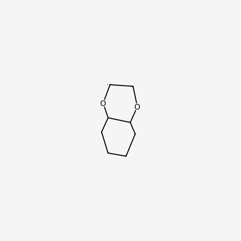 [CH]1COC2CCCCC2O1